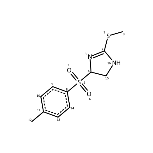 CSC1=NC(S(=O)(=O)c2ccc(C)cc2)CN1